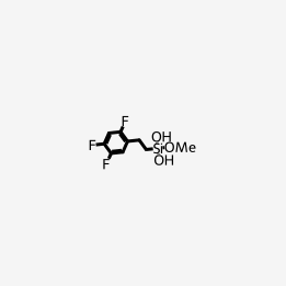 CO[Si](O)(O)CCc1cc(F)c(F)cc1F